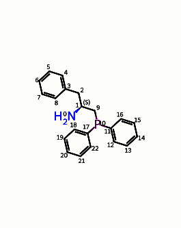 N[C@@H](Cc1ccccc1)CP(c1ccccc1)c1ccccc1